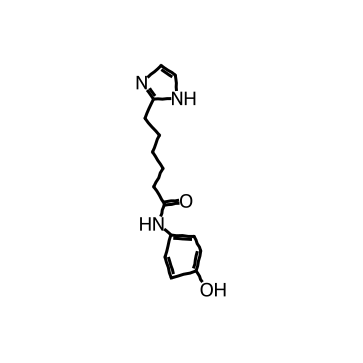 O=C(CCCCCc1ncc[nH]1)Nc1ccc(O)cc1